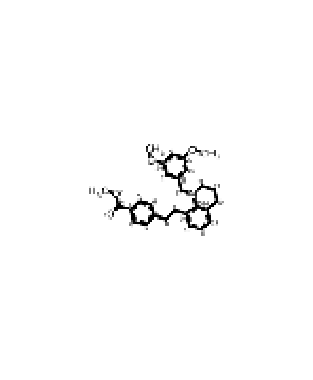 COC(=O)c1ccc(CCc2cccc3c2N(Cc2cc(OC)cc(OC)c2)CCC3)cc1